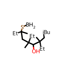 BSC(C)(CC)CC(C)(CC)C(O)C(C)(CC)CC(C)CC